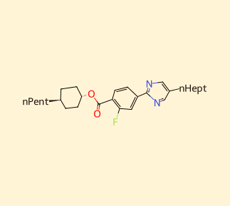 CCCCCCCc1cnc(-c2ccc(C(=O)O[C@H]3CC[C@H](CCCCC)CC3)c(F)c2)nc1